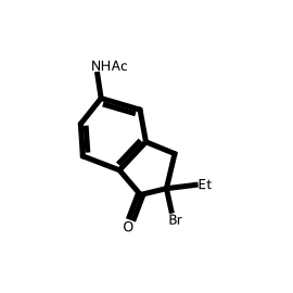 CCC1(Br)Cc2cc(NC(C)=O)ccc2C1=O